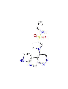 O=S(=O)(NCC(F)(F)F)C1CCN(c2cnnc3cnc4[nH]ccc4c23)C1